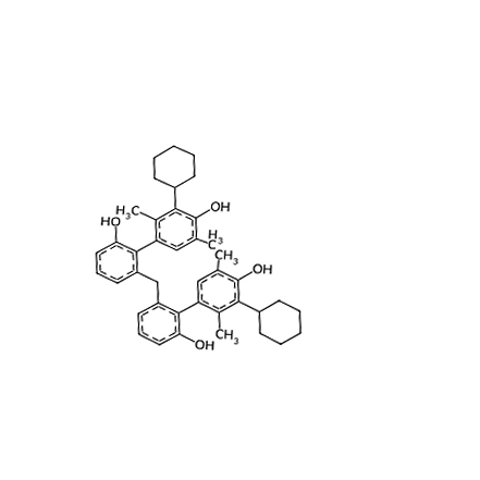 Cc1cc(-c2c(O)cccc2Cc2cccc(O)c2-c2cc(C)c(O)c(C3CCCCC3)c2C)c(C)c(C2CCCCC2)c1O